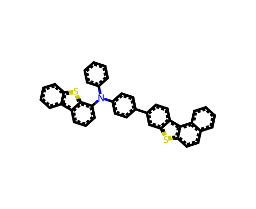 c1ccc(N(c2ccc(-c3ccc4c(c3)sc3ccc5ccccc5c34)cc2)c2cccc3c2sc2ccccc23)cc1